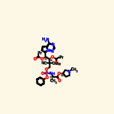 COC(C#N)(COP(=O)(N[C@@H](C)C(=O)O[C@@H]1CCN(C)C1)Oc1ccccc1)[C@@H](OC(=O)C(C)C)[C@@H](OC(=O)C(C)C)c1ccc2c(N)ncnn12